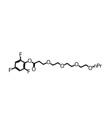 CCCOCCOCCOCCOCCC(=O)Oc1c(F)cc(F)cc1F